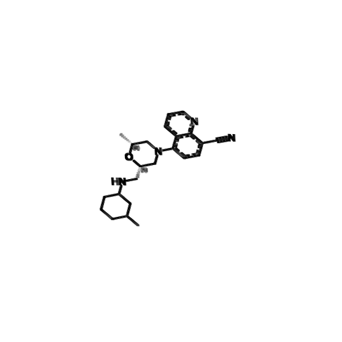 CC1CCCC(NC[C@H]2CN(c3ccc(C#N)c4ncccc34)C[C@@H](C)O2)C1